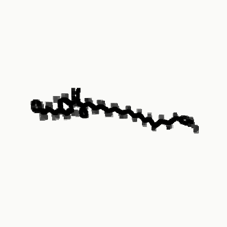 CCCCCCCCCCCCCCCCC(=O)Nc1ccc(CCC=O)cc1